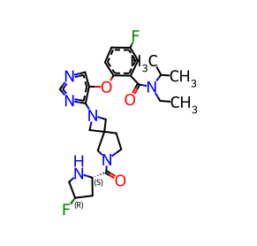 CCN(C(=O)c1cc(F)ccc1Oc1cncnc1N1CC2(CCN(C(=O)[C@@H]3C[C@@H](F)CN3)C2)C1)C(C)C